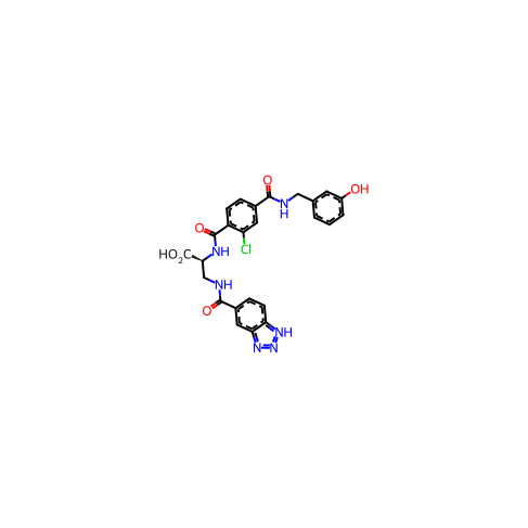 O=C(NCc1cccc(O)c1)c1ccc(C(=O)N[C@@H](CNC(=O)c2ccc3[nH]nnc3c2)C(=O)O)c(Cl)c1